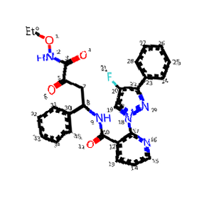 CCONC(=O)C(=O)CC(NC(=O)c1cccnc1-n1cc(F)c(-c2ccccc2)n1)c1ccccc1